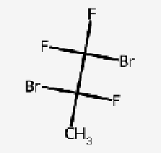 CC(F)(Br)C(F)(F)Br